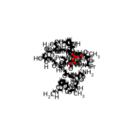 C=CNC(=O)CNC(=O)C(Cc1ccccc1)NC(=O)C(C)NC(=O)CNC(=O)C(CC(N)=O)NC(=O)CNC(=O)CNC(=O)CNC(=O)CNC(=O)C1C(O)C(O)CN1C(=O)CNC(=O)C(NC(=O)CNC(=O)CNC(=O)C1CCCN1C(=O)CNC(=O)CNC(=O)C(CC(C)C)NC(=O)C(=C)NC(=O)C(Cc1c[nH]c2ccc(Cl)cc12)NC(=O)CNC(=O)/C(=C\C)NC(=O)C(N)C(C)C)C(C)O